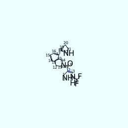 N=C/C(=C\NC(F)F)C(=O)N1CCc2cccc([C@@H]3CCCN3)c2C1